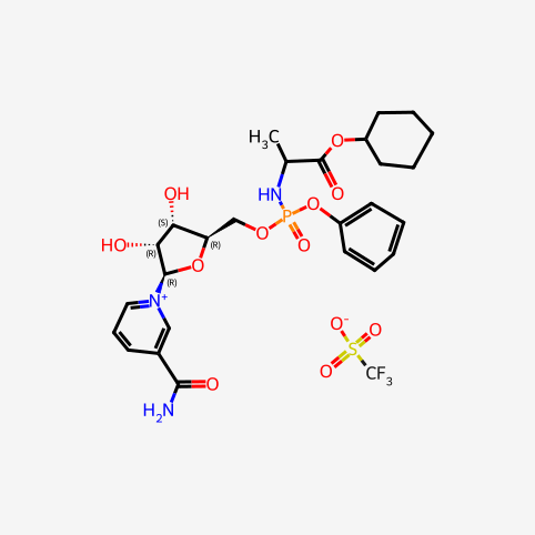 CC(NP(=O)(OC[C@H]1O[C@@H]([n+]2cccc(C(N)=O)c2)[C@H](O)[C@@H]1O)Oc1ccccc1)C(=O)OC1CCCCC1.O=S(=O)([O-])C(F)(F)F